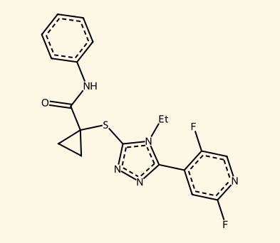 CCn1c(SC2(C(=O)Nc3ccccc3)CC2)nnc1-c1cc(F)ncc1F